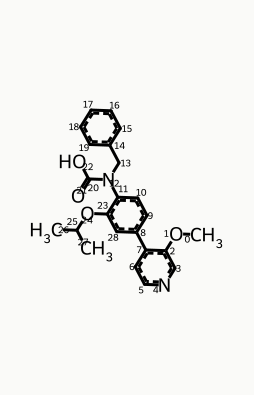 COc1cnccc1-c1ccc(N(Cc2ccccc2)C(=O)O)c(OC(C)C)c1